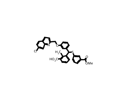 COC(=O)c1cccc(SC(c2cccc(OCc3ccc4ccc(Cl)cc4n3)c2)c2cccc(C(=O)O)c2C)c1